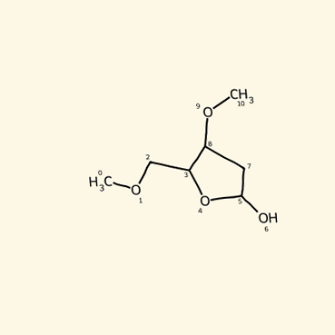 COCC1OC(O)CC1OC